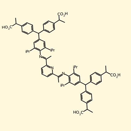 CC(=Nc1c(C(C)C)cc(C(c2ccc(C(C)C(=O)O)cc2)c2ccc(C(C)C(=O)O)cc2)cc1C(C)C)c1cccc(C(C)=Nc2c(C(C)C)cc(C(c3ccc(C(C)C(=O)O)cc3)c3ccc(C(C)C(=O)O)cc3)cc2C(C)C)n1